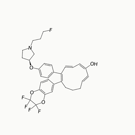 OC1=C/C=C/C(c2ccc(O[C@H]3CCN(CCCF)C3)cc2)=C(/c2ccc3c(c2)OC(F)(F)C(F)(F)O3)CCC\C=C\1